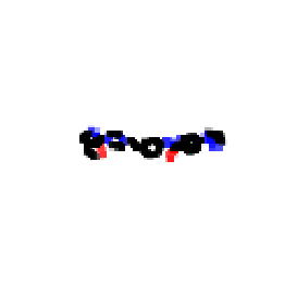 O=C(N[C@H]1CC[C@H](CCN2CCN(c3nccc4c3OCC4)CC2)CC1)c1ccc(-n2cccn2)cc1